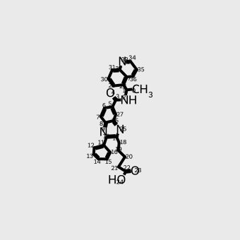 CC(NC(=O)c1ccc2nc(-c3ccccc3)c(CCCCC(=O)O)nc2c1)c1cccc2ncccc12